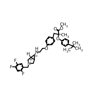 COC(=O)[C@](C)(Cc1ccc(OCCN[C@H]2C3CN(Cc4cc(F)c(F)cc4F)C[C@@H]32)cc1)Oc1ccc(C(C)(C)C)cc1